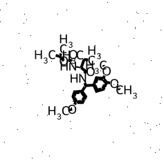 COc1ccc(C(NC(=O)[C@@H](NC(=O)OC(C)C)C(C)C)c2ccc(OC)c(OC)c2)cc1